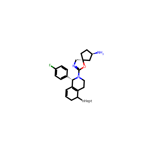 CCCCCCCC1CC=CC2=C1CCN(C1=NC[C@@]3(CC[C@@H](N)C3)O1)[C@H]2c1ccc(F)cc1